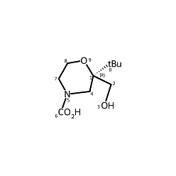 CC(C)(C)[C@]1(CO)CN(C(=O)O)CCO1